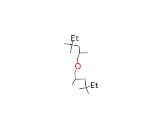 CCC(C)(C)CC(C)COCC(C)CC(C)(C)CC